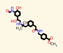 COC(=O)c1ccc(CNC(=O)Cc2cccc(CC(C)(C)NC[C@H](O)c3ccc(O)c(NC=O)c3)c2)cc1